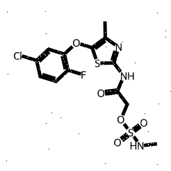 CNS(=O)(=O)OCC(=O)Nc1nc(C)c(Oc2cc(Cl)ccc2F)s1